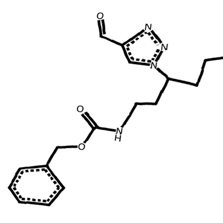 CCCC(CCNC(=O)OCc1ccccc1)n1cc(C=O)nn1